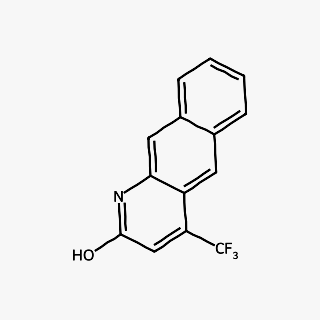 Oc1cc(C(F)(F)F)c2cc3ccccc3cc2n1